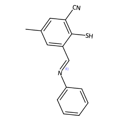 Cc1cc(C#N)c(S)c(/C=N/c2ccccc2)c1